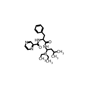 CCB(CC)C(CC(C)C)NC(=O)C(Cc1ccccc1)NC(=O)c1cnccn1